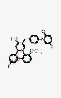 COc1cccc(OC)c1N1C=C(Cc2ccc(-n3cc(F)ccc3=O)cc2)C(O)=NC1c1ccc(F)cc1